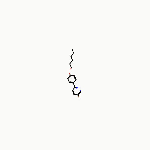 CCCCCCOc1ccc(-c2ccc(Br)cn2)cc1